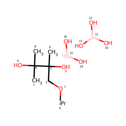 CC(C)OCC(C)(O)C(C)(C)O.OB(O)O.OBO